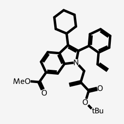 C=Cc1ccccc1-c1c(C2CCCCC2)c2ccc(C(=O)OC)cc2n1CC(=C)C(=O)OC(C)(C)C